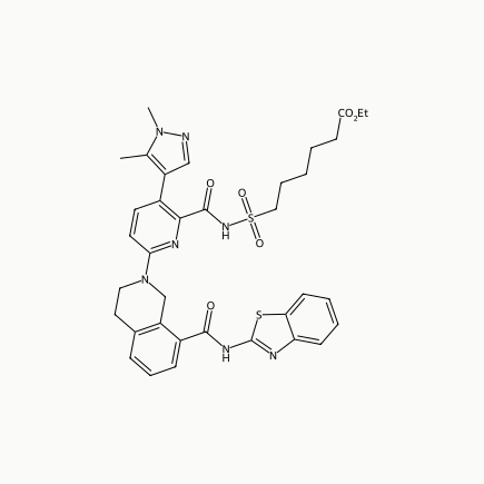 CCOC(=O)CCCCCS(=O)(=O)NC(=O)c1nc(N2CCc3cccc(C(=O)Nc4nc5ccccc5s4)c3C2)ccc1-c1cnn(C)c1C